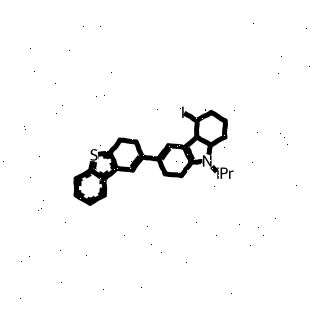 CC(C)N1C2=C(C=C(C3=Cc4c(sc5ccccc45)CC3)CC2)C2C(I)CCCC21